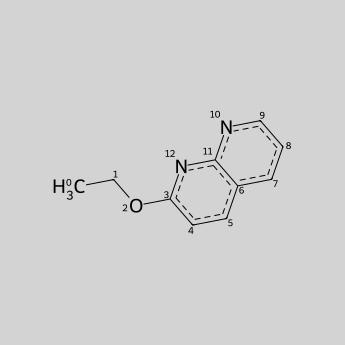 CCOc1ccc2cccnc2n1